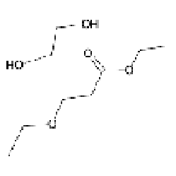 CCOCCC(=O)OCC.OCCO